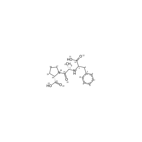 C[C@H](NC(Cc1ccccc1)C(=O)O)C(=O)N1CCC[C@H]1C(=O)O